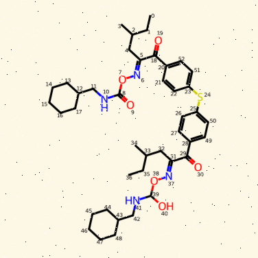 CCC(C)C/C(=N\OC(=O)NCC1CCCCC1)C(=O)c1ccc(Sc2ccc(C(=O)/C(CC(C)CC)=N/OC(O)NCC3CCCCC3)cc2)cc1